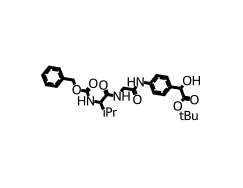 CC(C)C(NC(=O)OCc1ccccc1)C(=O)NCC(=O)Nc1ccc(C(O)C(=O)OC(C)(C)C)cc1